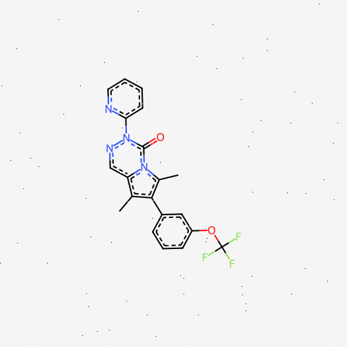 Cc1c(-c2cccc(OC(F)(F)F)c2)c(C)n2c(=O)n(-c3ccccn3)ncc12